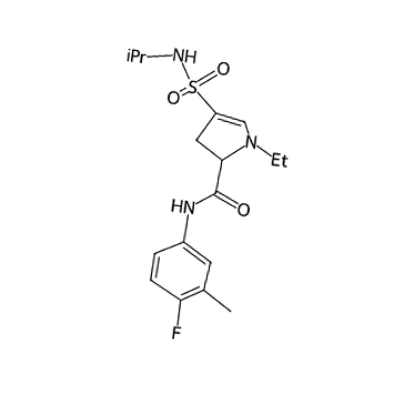 CCN1C=C(S(=O)(=O)NC(C)C)CC1C(=O)Nc1ccc(F)c(C)c1